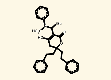 CC(C)(C)C(C1=C(O)CC(CCc2ccccc2)(CCc2ccccc2)OC1=O)N(C(=O)O)c1ccccc1